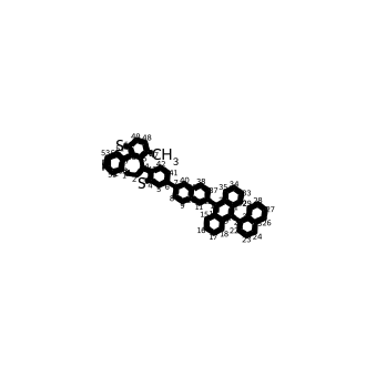 C=Cc1sc2cc(-c3ccc4cc(-c5c6ccccc6c(-c6cccc7ccccc67)c6ccccc56)ccc4c3)ccc2c1-c1c(C)ccc2sc3ccccc3c12